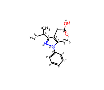 Cc1c(CC(=O)O)c(C(C)C)nn1-c1ccccc1